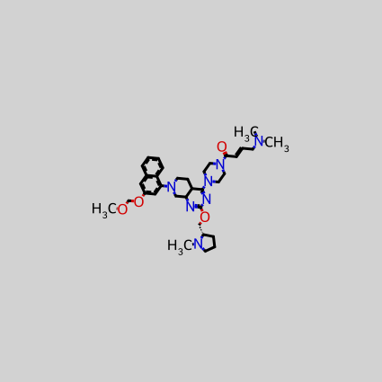 COCOc1cc(N2CCC3C(N4CCN(C(=O)/C=C/CN(C)C)CC4)=NC(OC[C@@H]4CCCN4C)=NC3C2)c2ccccc2c1